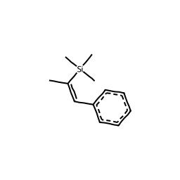 CC(=Cc1ccccc1)[Si](C)(C)C